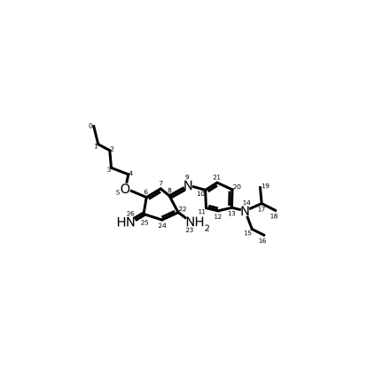 CCCCCOC1=C/C(=N/c2ccc(N(CC)C(C)C)cc2)C(N)=CC1=N